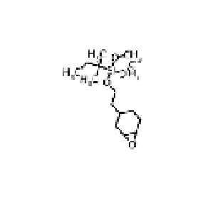 CCC(C)(C)[Si](OC)(OC)OCCC1CCC2OC2C1